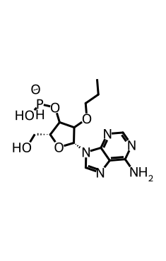 CCCOC1C(O[PH](=O)O)[C@@H](CO)O[C@H]1n1cnc2c(N)ncnc21